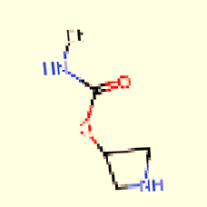 CCNC(=O)OC1CNC1